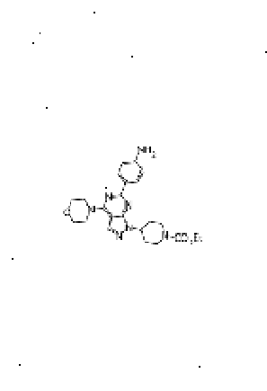 CCOC(=O)N1CCC(n2ncc3c(N4CCOCC4)nc(-c4ccc(N)cc4)nc32)CC1